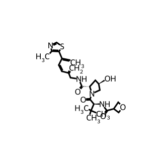 C=C(/C=C\C(=C/C)c1scnc1C)CNC(=O)[C@@H]1C[C@@H](O)CN1C(=O)[C@@H](NC(=O)C1COC1)C(C)(C)C